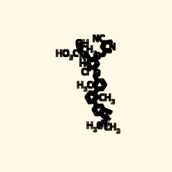 Cc1c(COc2cc(OCc3cncc(C#N)c3)c(CNC(C)(CO)C(=O)O)cc2Cl)cccc1-c1cccc(-c2ccc3c(c2)CC[C@H]3N(C)C)c1C